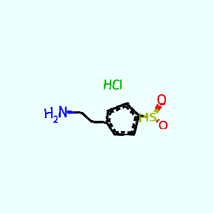 Cl.NCCc1ccc([SH](=O)=O)cc1